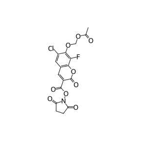 CC(=O)OCOc1c(Cl)cc2cc(C(=O)ON3C(=O)CCC3=O)c(=O)oc2c1F